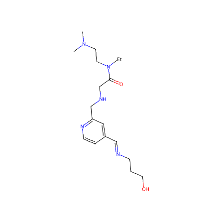 CCN(CCN(C)C)C(=O)CNCc1cc(C=NCCCO)ccn1